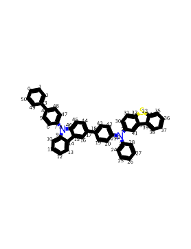 c1ccc(-c2ccc(-n3c4ccccc4c4cc(-c5ccc(N(c6ccccc6)c6ccc7sc8ccccc8c7c6)cc5)ccc43)cc2)cc1